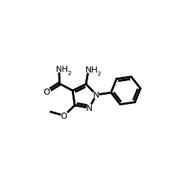 COc1nn(-c2ccccc2)c(N)c1C(N)=O